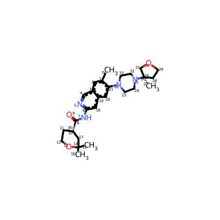 Cc1cc2cnc(NC(=O)[C@@H]3CCOC(C)(C)C3)cc2cc1N1CCN([C@]2(C)CCOC2)CC1